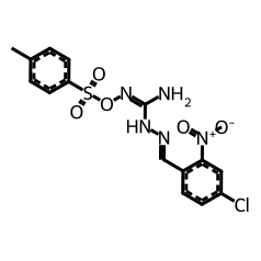 Cc1ccc(S(=O)(=O)ON=C(N)NN=Cc2ccc(Cl)cc2[N+](=O)[O-])cc1